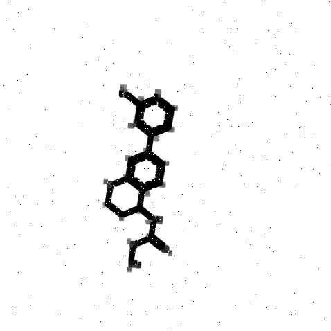 CC(C)(C)OC(=O)NC1CCOc2cc(-c3ccnc(Cl)n3)ccc21